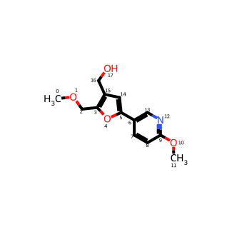 COCc1oc(-c2ccc(OC)nc2)cc1CO